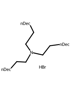 Br.CCCCCCCCCCCCN(CCCCCCCCCCCC)CCCCCCCCCCCC